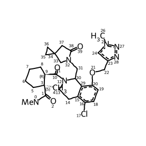 CNC(=O)[C@@]1(C)CCCC[C@H]1C(=O)N1CCc2c(Cl)ccc(OCc3cn(C)nn3)c2C1CN1CC2(CC2)CC1=O